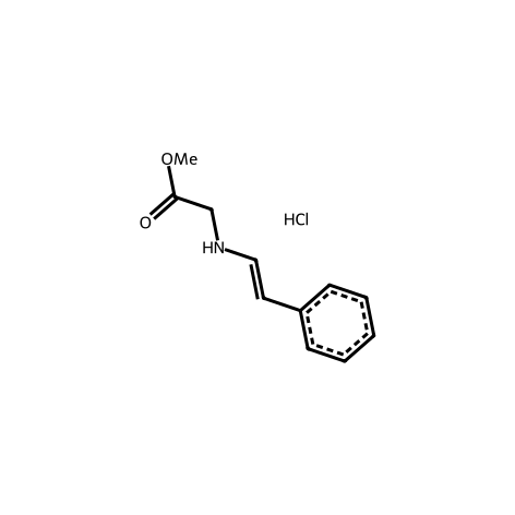 COC(=O)CNC=Cc1ccccc1.Cl